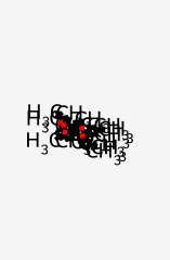 Cc1cc2c3c(c1)N(c1ccc(C(C)(C)C)cc1C)c1c(oc4ccc(C(C)(C)C)cc14)B3c1ccc3c(c1N2c1ccc(C(C)(C)C)cc1)C(C)(C)CCC3(C)C